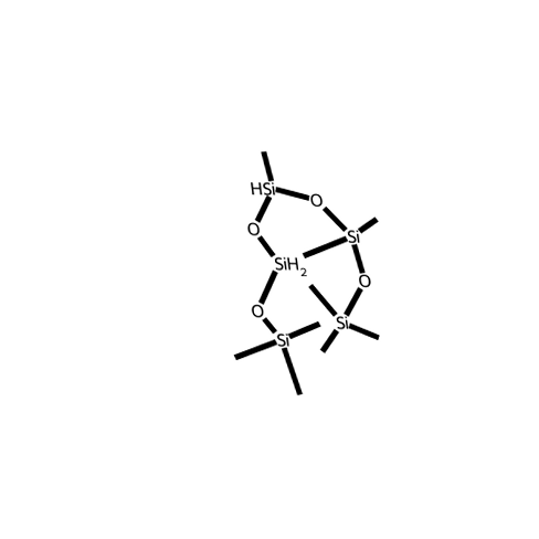 C[SiH](O[SiH2]O[Si](C)(C)C)O[Si](C)(C)O[Si](C)(C)C